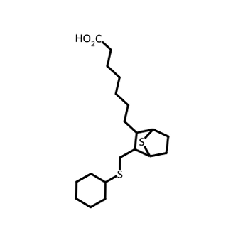 O=C(O)CCCCCCC1C2CCC(S2)C1CSC1CCCCC1